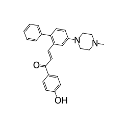 CN1CCN(c2ccc(-c3ccccc3)c(C=CC(=O)c3ccc(O)cc3)c2)CC1